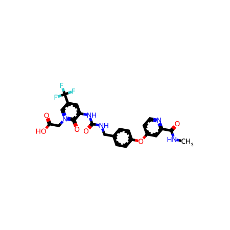 CNC(=O)c1cc(Oc2ccc(CNC(=O)Nc3cc(C(F)(F)F)cn(CC(=O)O)c3=O)cc2)ccn1